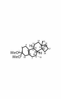 COC1(OC)CCC2=C(C[C@@H](C)[C@@H]3[C@@H]2CC[C@]2(C)CCC[C@@H]32)C1